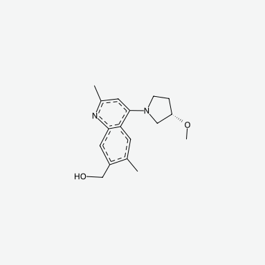 CO[C@H]1CCN(c2cc(C)nc3cc(CO)c(C)cc23)C1